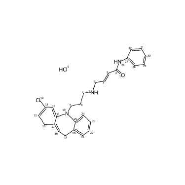 Cl.O=C(/C=C/CNCCCN1C2=CC(Cl)=CCC2=CCc2ccccc21)Nc1ccccc1